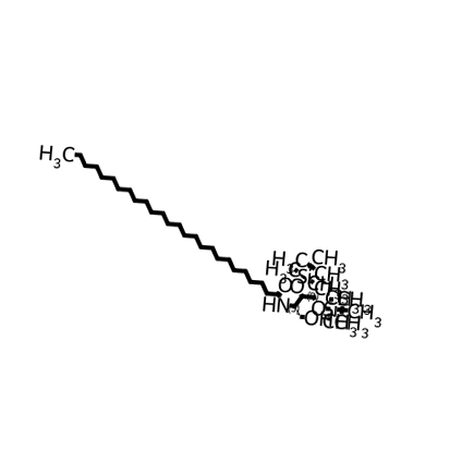 CCCCCCCCCCCCCCCCCCCCCCCCCC(=O)N[C@@H](CO)C(O[Si](C)(C)C(C)(C)C)[C@@H](C)O[Si](C)(C)C(C)(C)C